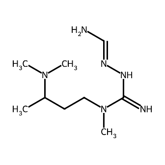 CC(CCN(C)C(=N)N/N=C/N)N(C)C